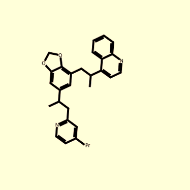 CC(C)c1ccnc(CC(C)c2cc(CC(C)c3ccnc4ccccc34)c3c(c2)OCO3)c1